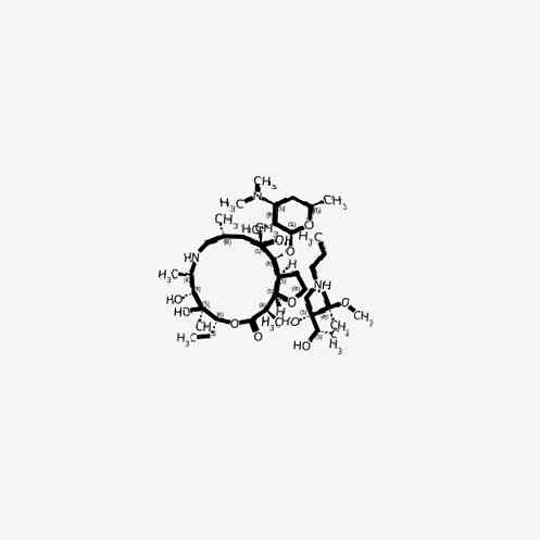 CCCNC[C@](O)([C@H](C)O)[C@@](C)(C[C@H]1C[C@H]2[C@H](O1)[C@@H](C)C(=O)O[C@H](CC)[C@@](C)(O)[C@H](O)[C@@H](C)NC[C@H](C)C[C@](C)(O)[C@@H]2O[C@@H]1O[C@H](C)C[C@H](N(C)C)[C@H]1O)OC